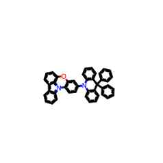 c1ccc(C2(c3ccccc3)c3ccccc3N(c3ccc4c(c3)Oc3cccc5c6ccccc6n-4c35)c3ccccc32)cc1